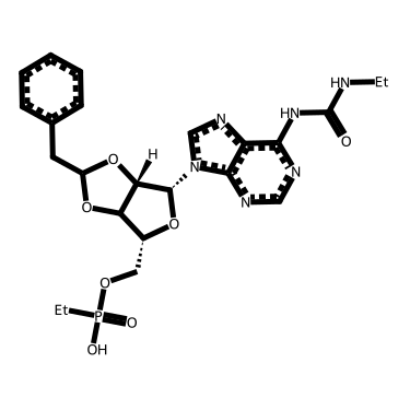 CCNC(=O)Nc1ncnc2c1ncn2[C@@H]1O[C@H](COP(=O)(O)CC)C2OC(Cc3ccccc3)O[C@@H]21